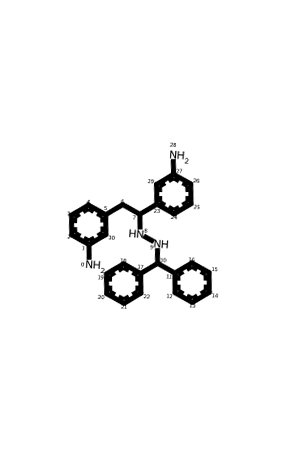 Nc1cccc(CC(NNC(c2ccccc2)c2ccccc2)c2cccc(N)c2)c1